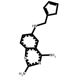 Nc1nc(N)c2cc(NCC3=CC=CC3)ccc2n1